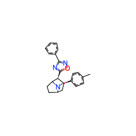 Cc1ccc([C@H]2CC3CCC([C@H]2c2nc(-c4ccccc4)no2)N3C)cc1